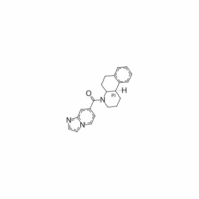 O=C(c1ccn2ccnc2c1)N1CCC[C@@H]2c3ccccc3CCC21